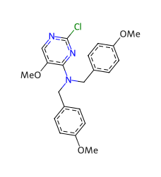 COc1ccc(CN(Cc2ccc(OC)cc2)c2nc(Cl)ncc2OC)cc1